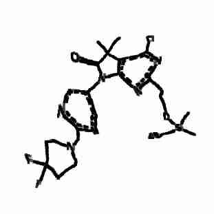 CC1(C)C(=O)N(c2cnc(N3CCC(F)(F)C3)nc2)c2nc(CO[Si](C)(C)C(C)(C)C)nc(Cl)c21